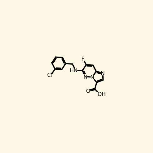 O=C(O)c1cnc2cc(F)c(NCc3cccc(Cl)c3)nn12